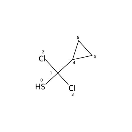 SC(Cl)(Cl)C1CC1